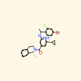 CC(/N=c1/cc(C(=O)N2CCc3ccccc3[C@H]2C)cc(C2CC2)[nH]1)c1ccc(Br)cc1F